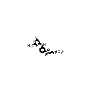 Cc1nc(Cl)nc(Nc2cccc(S(=O)(=O)CCOS(=O)(=O)O)c2)n1